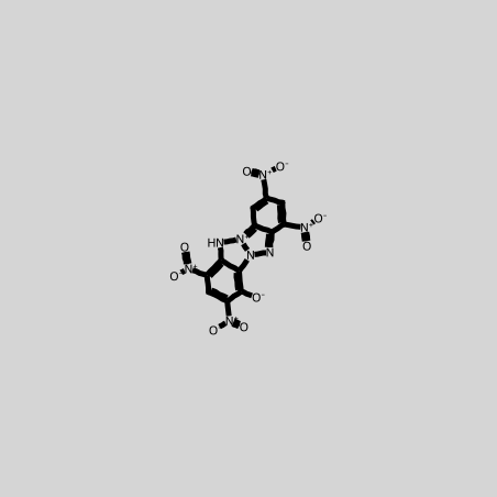 O=[N+]([O-])c1cc([N+](=O)[O-])c2nn3c4c([O-])c([N+](=O)[O-])cc([N+](=O)[O-])c4[nH][n+]3c2c1